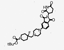 CC(C)(C)OC(=O)N1CCC(F)(CN2CCN(c3ccc4c(c3)C(=O)N(C3CCC(=O)NC3=O)C4=O)CC2)CC1